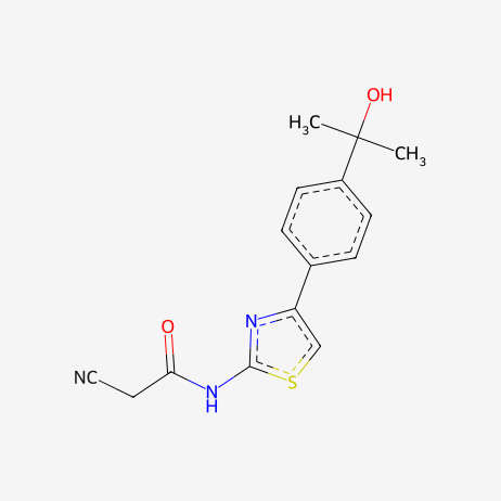 CC(C)(O)c1ccc(-c2csc(NC(=O)CC#N)n2)cc1